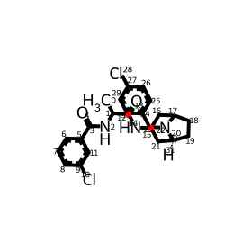 CC(NC(=O)c1cccc(Cl)c1)C(=O)NC1CC2CC[C@@H](C1)N2Cc1ccc(Cl)cc1